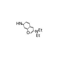 CCN(CC)c1coc2cc(=N)ccc-2c1